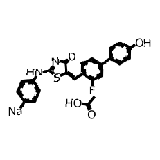 CC(=O)O.O=C1N=C(Nc2cc[c]([Na])cc2)S/C1=C/c1ccc(-c2ccc(O)cc2)cc1F